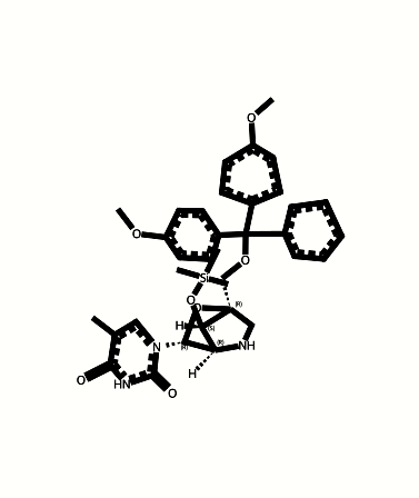 COc1ccc(C(OC[C@@]23CN[C@@H]([C@H](n4cc(C)c(=O)[nH]c4=O)O2)[C@@H]3O[Si](C)(C)C)(c2ccccc2)c2ccc(OC)cc2)cc1